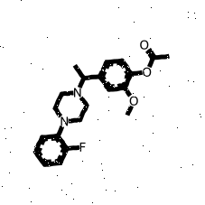 COc1cc(C(C)N2CCN(c3ccccc3F)CC2)ccc1OC(C)=O